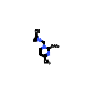 COC1N=C(C)C=CN1CN1CC1C#N